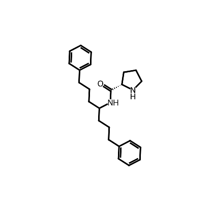 O=C(NC(CCCc1ccccc1)CCCc1ccccc1)[C@@H]1CCCN1